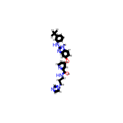 Cn1c(Nc2cccc(C(C)(C)C)c2)nc2cc(Oc3ccnc(C(=O)NCCCn4ccnc4)c3)ccc21